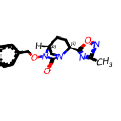 Cc1noc([C@@H]2CC[C@@H]3CN2C(=O)N3OCc2ccccc2)n1